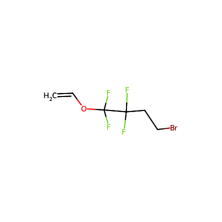 C=COC(F)(F)C(F)(F)CCBr